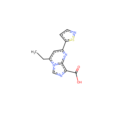 CCc1cc(-c2ccns2)nc2c(C(=O)O)ncn12